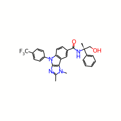 Cc1nc2c(c3cc(C(=O)N[C@](C)(CO)c4ccccc4)ccc3n2-c2ccc(C(F)(F)F)cc2)n1C